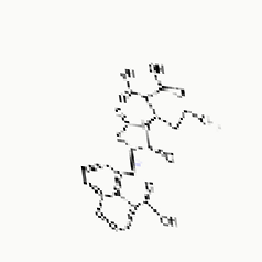 CCCC(C(C(=O)O)C(=O)O)N1C(=O)/C(=C/c2cccc3cccc(C(=O)O)c23)SC1=S